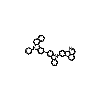 c1ccc(-n2c3ccc(-c4ccc5c(c4)c4ccccc4n5-c4ccc5c(c4)-c4cccc6ccnc-5c46)cc3c3c4ccccc4ccc32)cc1